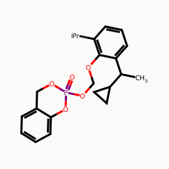 CC(C)c1cccc(C(C)C2CC2)c1OCOP1(=O)OCc2ccccc2O1